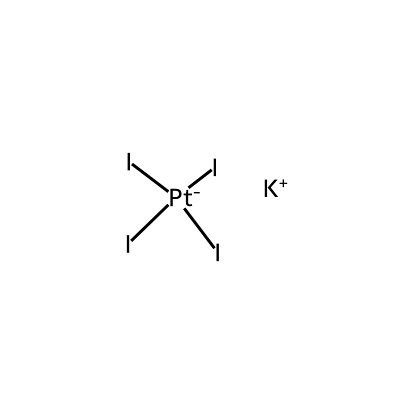 [I][Pt-]([I])([I])[I].[K+]